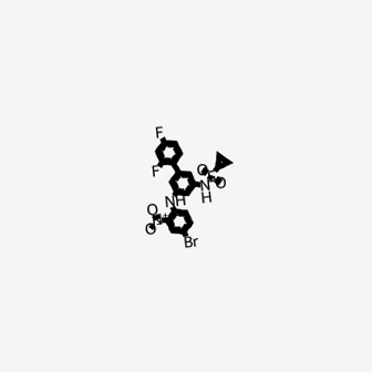 O=[N+]([O-])c1cc(Br)ccc1Nc1cc(NS(=O)(=O)C2CC2)cc(-c2ccc(F)cc2F)c1